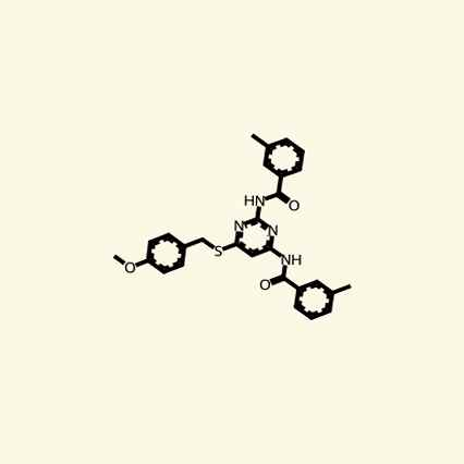 COc1ccc(CSc2cc(NC(=O)c3cccc(C)c3)nc(NC(=O)c3cccc(C)c3)n2)cc1